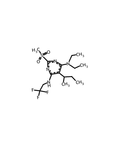 CCC(C)c1c(NCC(F)(F)F)nc(S(C)(=O)=O)nc1N(CC)CC